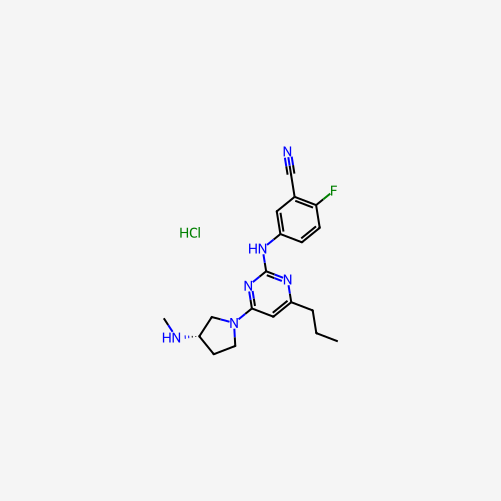 CCCc1cc(N2CC[C@H](NC)C2)nc(Nc2ccc(F)c(C#N)c2)n1.Cl